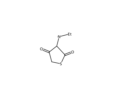 CC[N]C1C(=O)CSC1=O